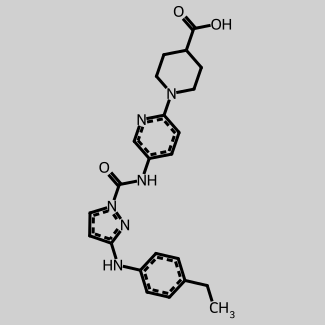 CCc1ccc(Nc2ccn(C(=O)Nc3ccc(N4CCC(C(=O)O)CC4)nc3)n2)cc1